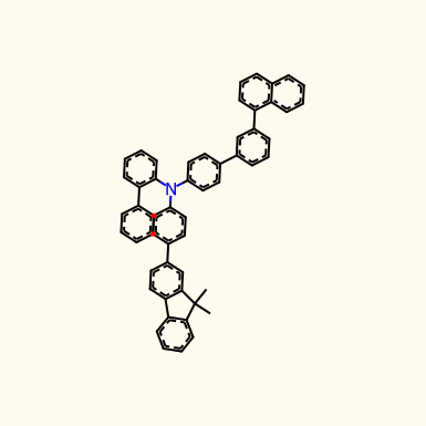 CC1(C)c2ccccc2-c2ccc(-c3ccc(N(c4ccc(-c5cccc(-c6cccc7ccccc67)c5)cc4)c4ccccc4-c4ccccc4)cc3)cc21